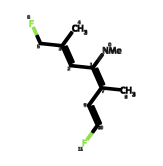 CNC(/C=C(\C)CF)=C(C)/C=C/F